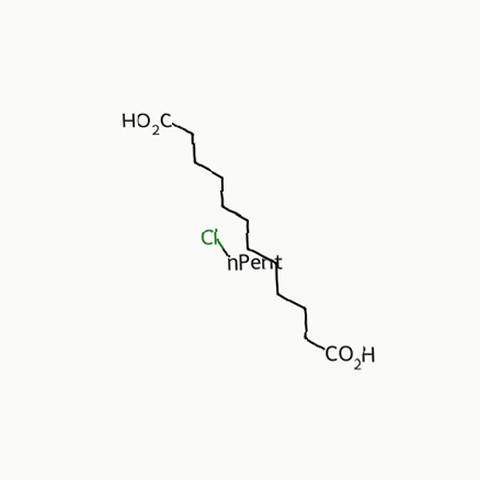 CCCCCCl.O=C(O)CCCCCCCCCCC(=O)O